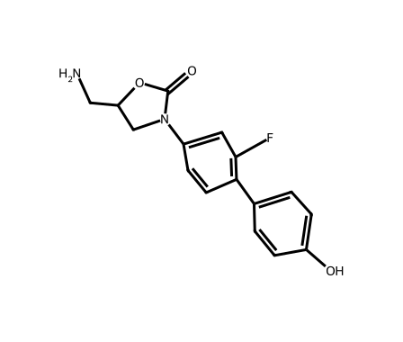 NCC1CN(c2ccc(-c3ccc(O)cc3)c(F)c2)C(=O)O1